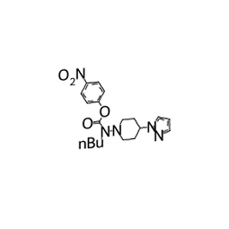 CCCCN(C(=O)Oc1ccc([N+](=O)[O-])cc1)N1CCC(n2cccn2)CC1